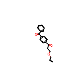 C=CCOCCC(=O)c1ccc(C(=O)c2ccccc2)cc1